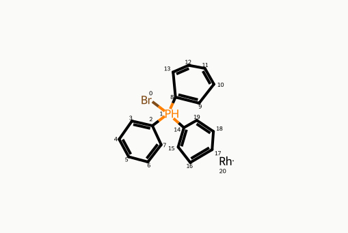 Br[PH](c1ccccc1)(c1ccccc1)c1ccccc1.[Rh]